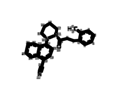 Cc1ccccc1CCC(=O)N1CCCCN1c1ccc(C#N)c2ccccc12